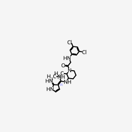 CN/C(NC1CCCN(C(=O)CNc2cc(Cl)cc(Cl)c2)C1C)=C1/C=CNC1=N